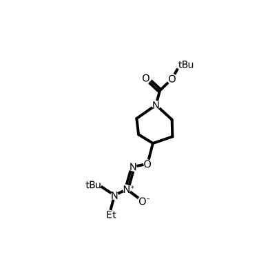 CCN(/[N+]([O-])=N/OC1CCN(C(=O)OC(C)(C)C)CC1)C(C)(C)C